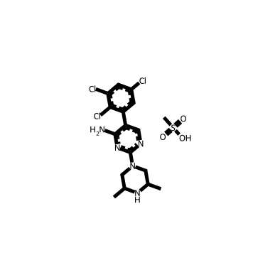 CC1CN(c2ncc(-c3cc(Cl)cc(Cl)c3Cl)c(N)n2)CC(C)N1.CS(=O)(=O)O